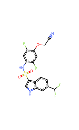 N#CCOc1cc(F)c(NS(=O)(=O)c2c[nH]c3cc(C(F)F)ccc23)cc1F